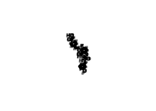 COc1cccc(CNC(=O)c2nc3ccc(F)c(OCCC4CCN(C(=O)CO)CC4)c3c(=O)[nH]2)c1